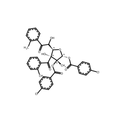 Cc1ccccc1C(=O)C(O)[C@H]1O[C@H](OC(=O)c2ccc(Cl)cc2)[C@](C)(OC(=O)c2ccc(Cl)cc2)[C@@]1(O)C(=O)c1ccccc1C